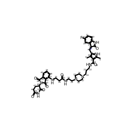 Cc1[nH]c(/C=C2\C(=O)Nc3ccc(F)cc32)c(C)c1C(=O)NCCCN1CCN(CCNC(=O)CCNc2cccc3c2C(=O)N(C2CCC(=O)NC2=O)C3=O)CC1